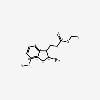 CCOC(=O)CCC1c2cccc(OC)c2CC1N